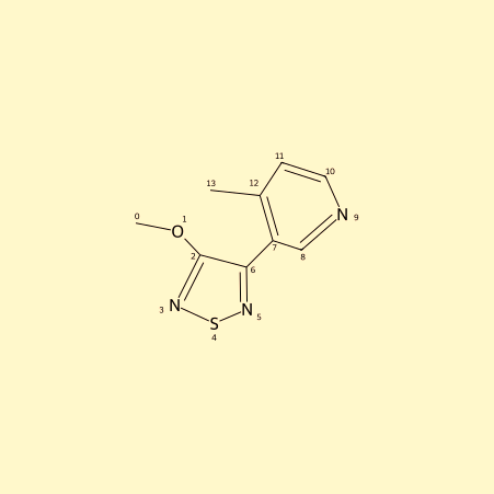 COc1nsnc1-c1cnccc1C